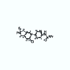 CC(C)C(=O)Nc1cnc(-c2cc3c(cc2Cl)CC(F)(F)C3)cn1